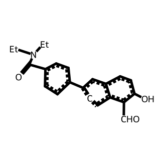 CCN(CC)C(=O)c1ccc(-c2ccc3c(C=O)c(O)ccc3c2)cc1